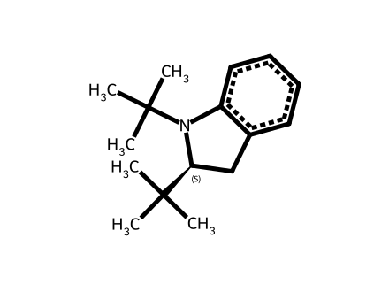 CC(C)(C)[C@@H]1Cc2ccccc2N1C(C)(C)C